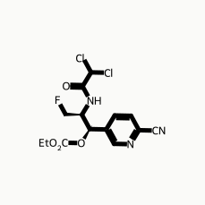 CCOC(=O)O[C@H](c1ccc(C#N)nc1)[C@@H](CF)NC(=O)C(Cl)Cl